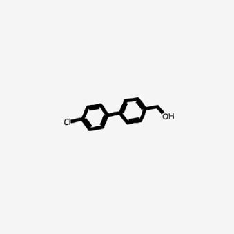 OCc1ccc(-c2ccc(Cl)cc2)cc1